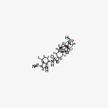 Cc1ccc(NS(=O)(=O)c2ccc(S(=O)(=O)N3CC4C[C@H](C3)N4C(=O)OC(C)(C)C)cc2)c2[nH]cc(C#N)c12